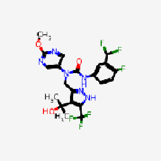 COc1ncc(N(Cc2n[nH]c(C(F)(F)F)c2C(C)(C)O)C(=O)Nc2ccc(F)c(C(F)F)c2)cn1